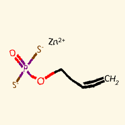 C=CCOP(=O)([S-])[S-].[Zn+2]